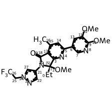 CC[C@]1(OC)c2nc(-c3cnc(OC)c(OC)c3)cc(C)c2C(=O)N1c1cnn(CC(F)(F)F)c1